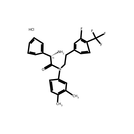 Cc1ccc(N(CCc2ccc(C(F)(F)F)c(F)c2)C(=O)[C@@H](N)c2ccccc2)cc1C.Cl